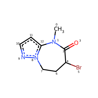 CN1C(=O)C(Br)CCn2nccc21